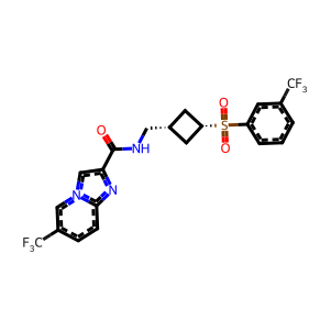 O=C(NC[C@H]1C[C@@H](S(=O)(=O)c2cccc(C(F)(F)F)c2)C1)c1cn2cc(C(F)(F)F)ccc2n1